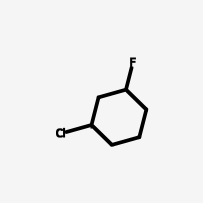 FC1CCC[C](Cl)C1